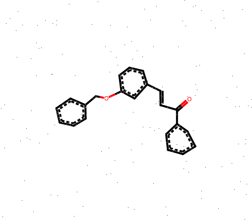 O=C(/C=C/c1cccc(OCc2ccccc2)c1)c1ccccc1